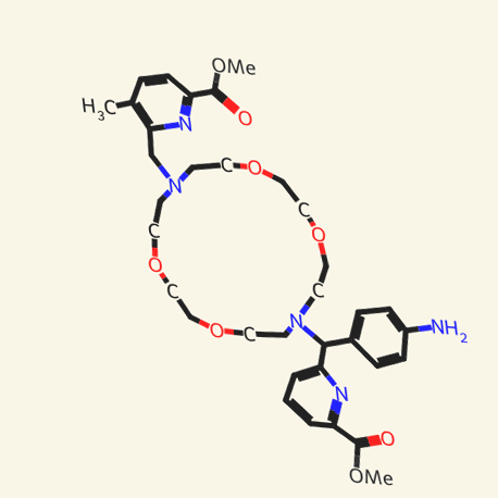 COC(=O)c1cccc(C(c2ccc(N)cc2)N2CCOCCOCCN(Cc3nc(C(=O)OC)ccc3C)CCOCCOCC2)n1